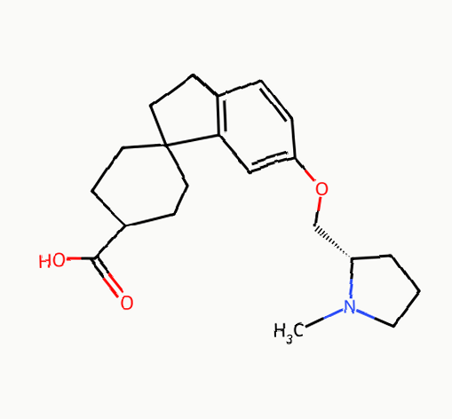 CN1CCC[C@H]1COc1ccc2c(c1)C1(CC2)CCC(C(=O)O)CC1